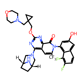 O=c1c2nc(OCC3(CN4CCOCC4)CC3)nc(N3C[C@H]4CC[C@@H](C3)N4)c2cc(C(F)(F)F)n1-c1cc(O)cc2ccc(F)c(F)c12